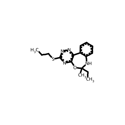 CCCSc1nnc2c(n1)OC(C)(CC)Nc1ccccc1-2